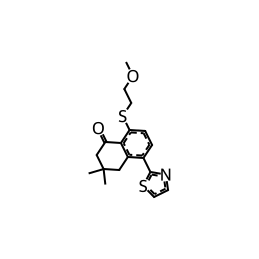 COCCSc1ccc(-c2nccs2)c2c1C(=O)CC(C)(C)C2